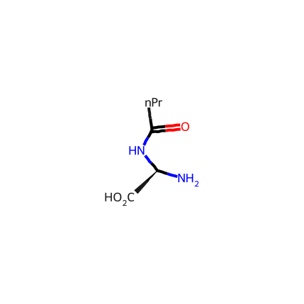 CCCC(=O)N[C@@H](N)C(=O)O